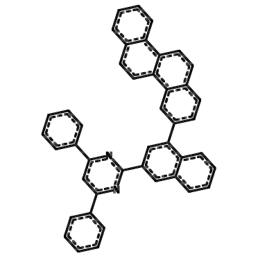 c1ccc(-c2cc(-c3ccccc3)nc(-c3cc(-c4ccc5ccc6c7ccccc7ccc6c5c4)c4ccccc4c3)n2)cc1